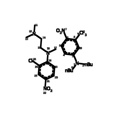 CCCCN(CCCC)c1ccc([N+](=O)[O-])c(C(F)(F)F)c1.CN(C)CCN(C)c1ccc([N+](=O)[O-])cc1Cl